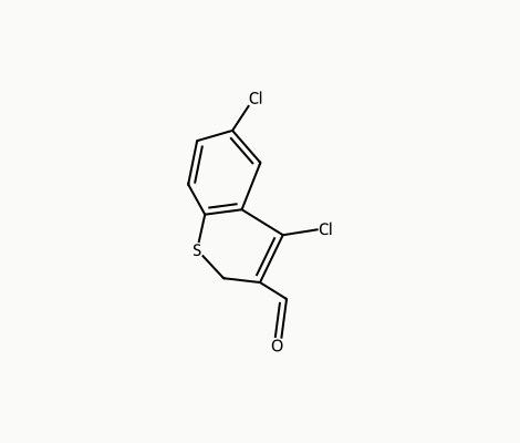 O=CC1=C(Cl)c2cc(Cl)ccc2SC1